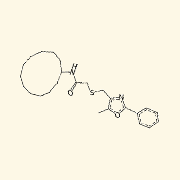 Cc1oc(-c2ccccc2)nc1CSCC(=O)NC1CCCCCCCCCCC1